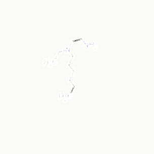 C=CCCCCN(/C=C\N)CC